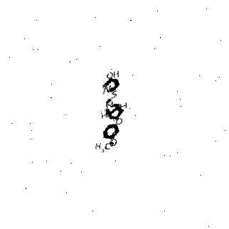 COc1cccc(O[C@H]2C[C@@H]3CN(CSc4ccc(O)cn4)C[C@@H]3C2)c1